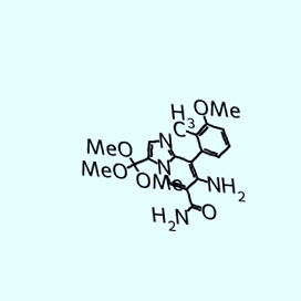 COc1cccc(-c2c(N)c(C(N)=O)cn3c(C(OC)(OC)OC)cnc23)c1C